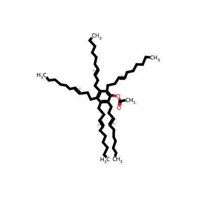 CCCCCC/C=C/CCc1c(CC/C=C/CCCCCC)c(CC/C=C/CCCCCC)c(OC(C)=O)c(CC/C=C/CCCCCC)c1CC/C=C/CCCCCC